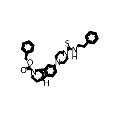 O=C(OCc1ccccc1)N1CC[C@@H]2CC1c1cc(N3CCN(C(=S)NCCc4ccccc4)CC3)ccc12